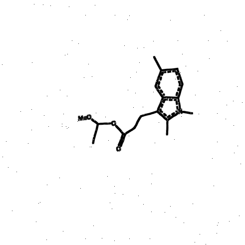 COC(C)OC(=O)CCc1c(C)n(C)c2ccc(C)cc12